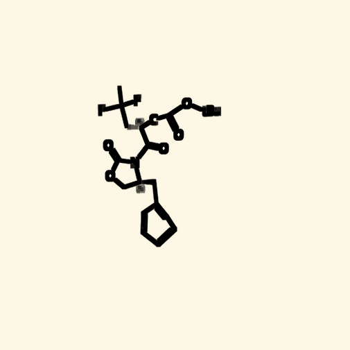 CC(F)(F)C[C@H](CC(=O)OC(C)(C)C)C(=O)N1C(=O)OC[C@@H]1Cc1ccccc1